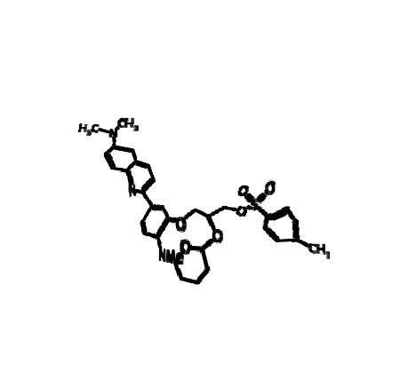 CNc1ccc(-c2ccc3cc(N(C)C)ccc3n2)cc1OCC(COS(=O)(=O)c1ccc(C)cc1)OC1CCCCO1